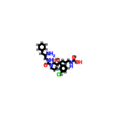 N[C@H](CNC(=O)N1CCC[C@@H]([C@@](O)(CCCNC(=O)O)c2cccc(Cl)c2F)C1)CC1CCCCC1